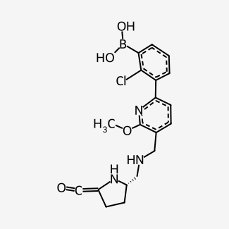 COc1nc(-c2cccc(B(O)O)c2Cl)ccc1CNC[C@@H]1CCC(=C=O)N1